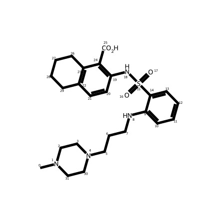 CN1CCN(CCCNc2ccccc2S(=O)(=O)Nc2ccc3c(c2C(=O)O)CCCC3)CC1